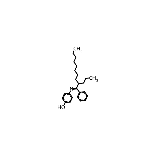 CCCCCCCCC(CCC)C(=Nc1ccc(O)cc1)c1ccccc1